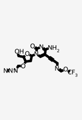 [N-]=[N+]=NCOC1CC(n2cc(C#CC/N=C\OC(F)(F)F)c(N)nc2=O)OC1CO